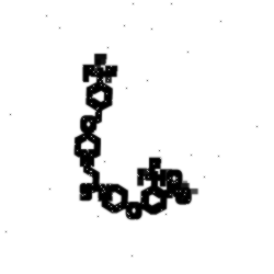 O=[N+]([O-])c1ccc(OC2CCN(C(=S)CCN3CCC(OCc4ccc(C(F)(F)F)cc4)CC3)CC2)cc1C(F)(F)F